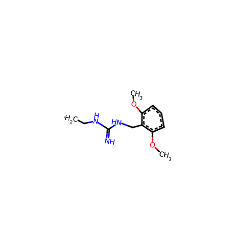 [CH2]CNC(=N)NCc1c(OC)cccc1OC